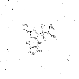 CCn1cc(Nc2[nH]ncc2Cl)c(S(=O)(=O)C(C)C)n1